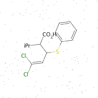 CC(C)C(C(=O)O)C(C=C(Cl)Cl)Sc1ccccc1